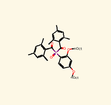 CCCCCCCCOc1ccc(P(=O)(C(=O)c2c(C)cc(C)cc2C)C(=O)c2c(C)cc(C)cc2C)c(OCCCCCCCC)c1